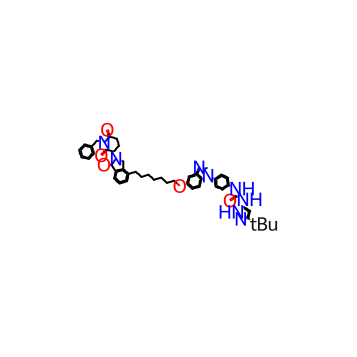 CC(C)(C)c1cc(NC(=O)Nc2ccc(-n3cnc4cc(OCCCCCCCc5cccc6c5CN(C5CCC(=O)N(Cc7ccccc7)C5=O)C6=O)ccc43)cc2)[nH]n1